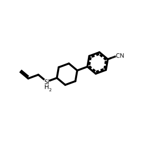 C=CC[SiH2]C1CCC(c2ccc(C#N)cc2)CC1